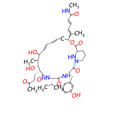 CNC(=O)/C=C/C=C(\C)[C@@H]1C/C=C/C=C/[C@H](O)[C@H](C)[C@@H](O)[C@@H](CCC(C)=O)C(=O)N[C@@H](C(C)C)C(=O)N[C@@H](Cc2cccc(O)c2)C(=O)N2CCCC(N2)C(=O)O1